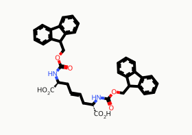 O=C(N[C@@H](C/C=C/C[C@H](NC(=O)OCC1c2ccccc2-c2ccccc21)C(=O)O)C(=O)O)OCC1c2ccccc2-c2ccccc21